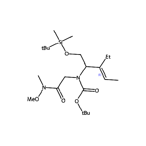 C/C=C(\CC)C(CO[Si](C)(C)C(C)(C)C)N(CC(=O)N(C)OC)C(=O)OC(C)(C)C